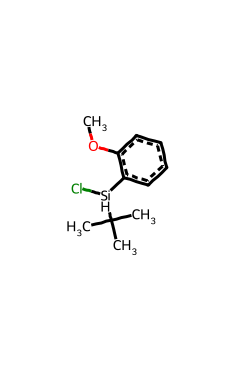 COc1ccccc1[SiH](Cl)C(C)(C)C